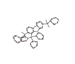 CC(C)(c1ccccc1)c1ccc2c(c1)Cc1c-2ccc(C(C)(C)c2ccccc2)c1C(c1ccccc1)(c1ccccc1)C1C=CC=C1